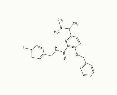 CC(c1ccc(OCc2ccccc2)c(C(=O)NCc2ccc(F)cc2)n1)N(C)C